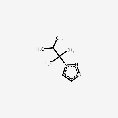 CC(C)C(C)(C)n1ccnn1